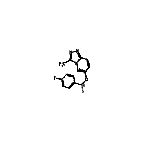 C[C@@H](Oc1ccc2nnc(C(F)(F)F)n2n1)c1ccc(F)cc1